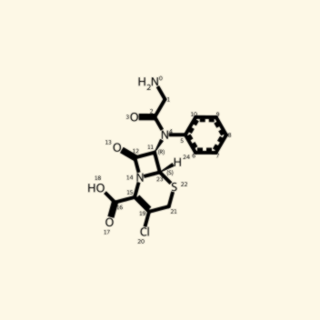 NCC(=O)N(c1ccccc1)[C@@H]1C(=O)N2C(C(=O)O)=C(Cl)CS[C@@H]12